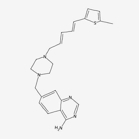 Cc1ccc(C=CC=CCN2CCN(Cc3ccc4c(N)ncnc4c3)CC2)s1